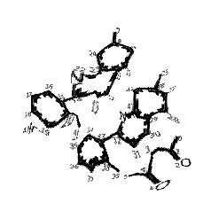 CC(=O)CC(C)=O.Cc1ccc2ccc(-c3ccccc3C)nc2c1.Cc1ccc2ccc(-c3ccccc3C)nc2c1.[Ir]